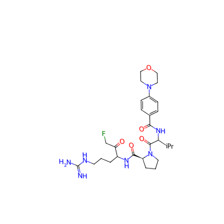 CC(C)C(NC(=O)c1ccc(N2CCOCC2)cc1)C(=O)N1CCC[C@H]1C(=O)NC(CCCNC(=N)N)C(=O)CF